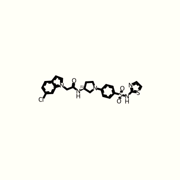 O=C(Cn1ccc2ccc(Cl)cc21)N[C@H]1CCN(c2ccc(S(=O)(=O)Nc3nccs3)cc2)C1